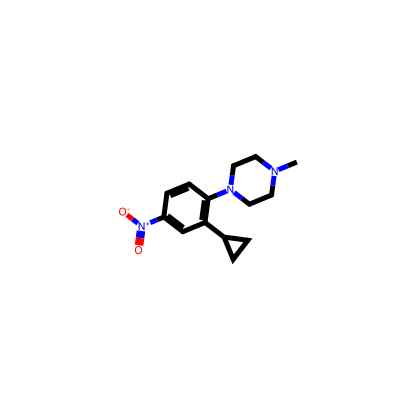 CN1CCN(c2ccc([N+](=O)[O-])cc2C2CC2)CC1